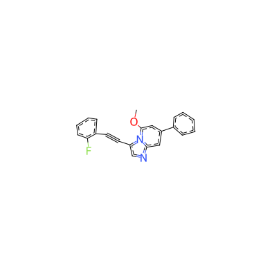 COc1cc(-c2ccccc2)cc2ncc(C#Cc3ccccc3F)n12